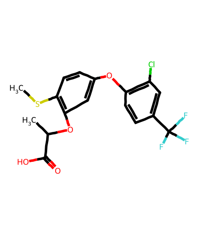 CSc1ccc(Oc2ccc(C(F)(F)F)cc2Cl)cc1OC(C)C(=O)O